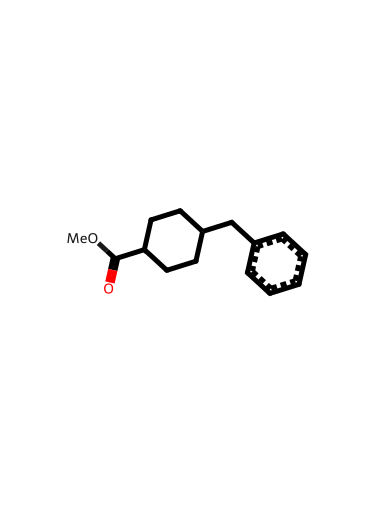 COC(=O)[C]1CCC(Cc2ccccc2)CC1